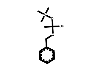 CC(O)(OCc1ccccc1)O[Si](C)(C)C